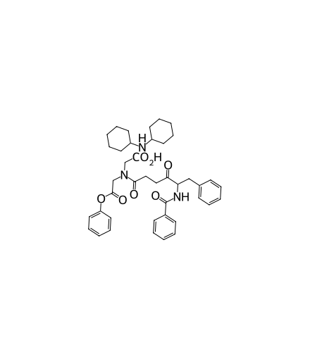 C1CCC(NC2CCCCC2)CC1.O=C(O)CN(CC(=O)Oc1ccccc1)C(=O)CCC(=O)C(Cc1ccccc1)NC(=O)c1ccccc1